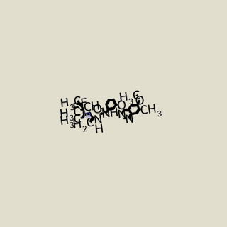 C=C(/C=C(\CC)C(C)(C)C(C)(F)F)NC(=O)Nc1cccc(Oc2ncnc3cc(C)c(OC)cc23)c1